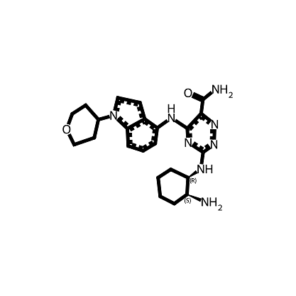 NC(=O)c1nnc(N[C@@H]2CCCC[C@@H]2N)nc1Nc1cccc2c1ccn2C1CCOCC1